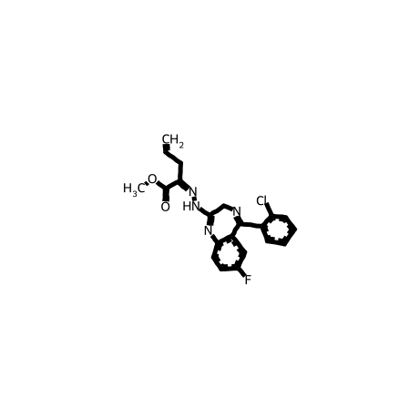 C=CCC(=NNC1=Nc2ccc(F)cc2C(c2ccccc2Cl)=NC1)C(=O)OC